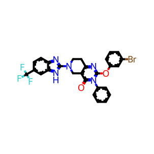 O=c1c2c(nc(Oc3cccc(Br)c3)n1-c1ccccc1)CCN(c1nc3ccc(C(F)(F)F)cc3[nH]1)C2